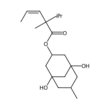 C/C=C\C(C)(C(=O)OC1CC2(O)CC(C)CC(O)(C1)C2)C(C)C